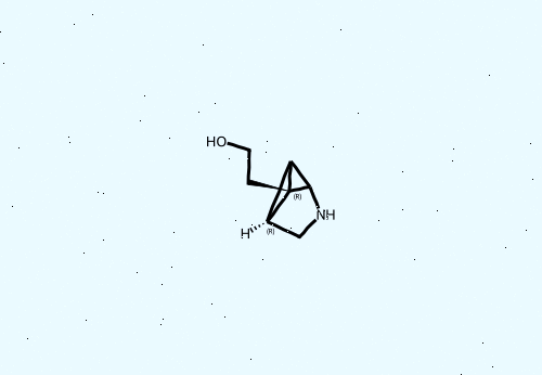 OCC[C@@]12C3NC[C@@H]1C32